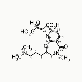 CN(C)CCCC1CN(C)C(=O)c2cccnc2O1.O.O=C(O)/C=C/C(=O)O